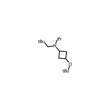 CC(C)N(CC(C)(C)C)C1CC(OC(C)(C)C)C1